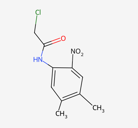 Cc1cc(NC(=O)CCl)c([N+](=O)[O-])cc1C